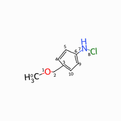 COCc1ccc(NCl)cc1